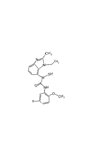 CCn1c(C)nc2cccc(N(S)C(=O)Nc3cc(F)ccc3OC)c21